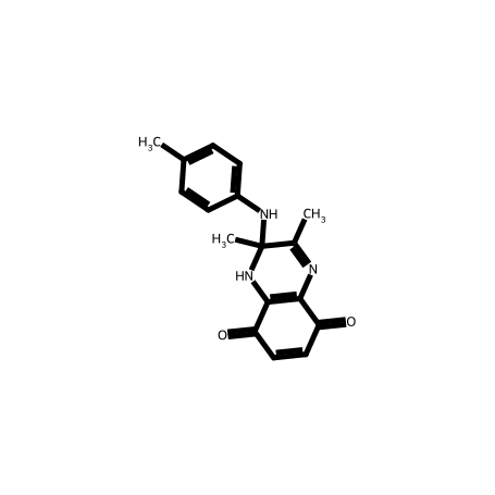 CC1=NC2=C(NC1(C)Nc1ccc(C)cc1)C(=O)C=CC2=O